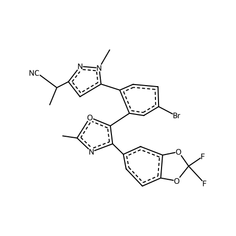 Cc1nc(-c2ccc3c(c2)OC(F)(F)O3)c(-c2cc(Br)ccc2-c2cc(C(C)C#N)nn2C)o1